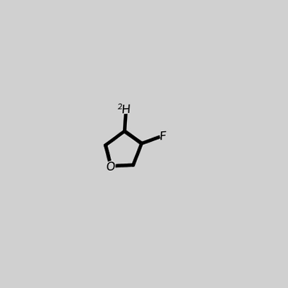 [2H]C1COCC1F